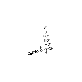 [K+].[OH-].[OH-].[OH-].[OH-].[OH-].[OH-].[OH-].[OH-].[V+5].[Zn+2]